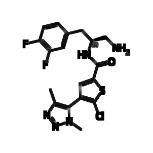 Cc1nnn(C)c1-c1cc(C(=O)N[C@H](CN)Cc2ccc(F)c(F)c2)sc1Cl